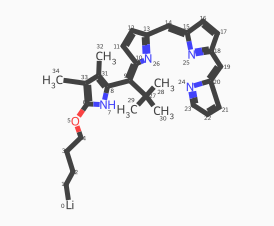 [Li][CH2]CCCOc1[nH]c(C(=C2C=CC(C=C3C=CC(C=C4C=CC=N4)=N3)=N2)C(C)(C)C)c(C)c1C